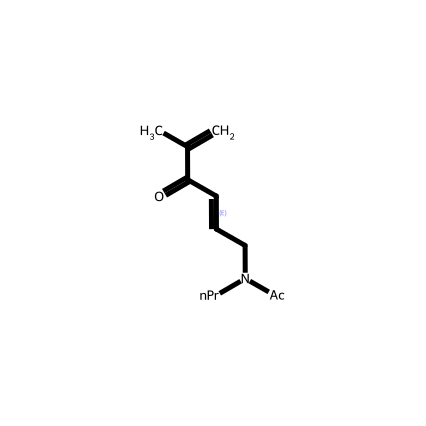 C=C(C)C(=O)/C=C/CN(CCC)C(C)=O